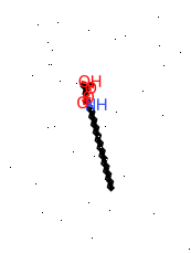 CCCCCCCCCCCCCCCCCCCCCCNC(=O)OCC(CO)OC